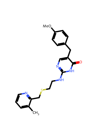 COc1ccc(Cc2cnc(NCCSCc3ncccc3C)[nH]c2=O)cc1